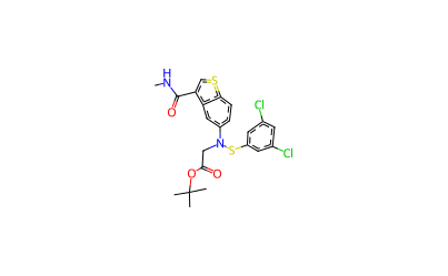 CNC(=O)c1csc2ccc(N(CC(=O)OC(C)(C)C)Sc3cc(Cl)cc(Cl)c3)cc12